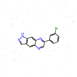 Brc1cccc(-c2cnc3cc4cn[nH]c4cc3n2)c1